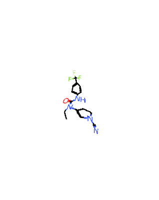 CCN(C(=O)Nc1ccc(C(F)(F)F)cc1)C1CCN(C#N)C1